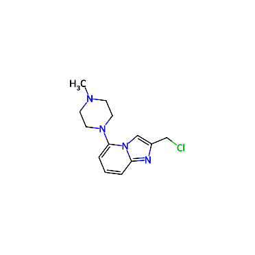 CN1CCN(c2cccc3nc(CCl)cn23)CC1